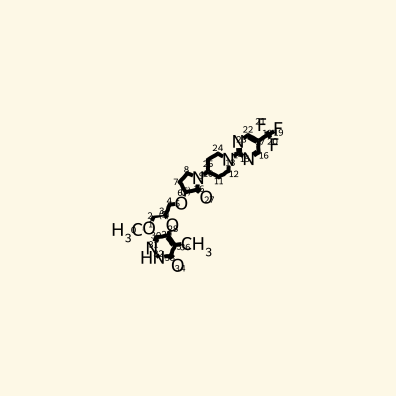 COC[C@@H](CO[C@H]1CCN(C2CCN(c3ncc(C(F)(F)F)cn3)CC2)C1=O)Oc1cn[nH]c(=O)c1C